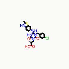 CC1Nc2ccc(NC3NC(=O)N(C[C@H](C)C(=O)O)C(=O)N3Cc3ccc(Cl)cc3)cc2S1